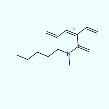 C=C/C=C(/C=C)C(=C)N(C)CCCCC